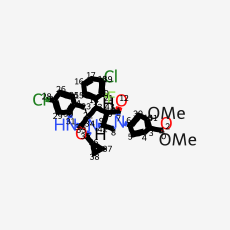 COC(=O)c1ccc(N2C[C@H]3[C@@H](C2=O)[C@H](c2cccc(Cl)c2F)[C@@]2(Cc4ccc(Cl)cc4NC2=O)N3CC2CC2)cc1OC